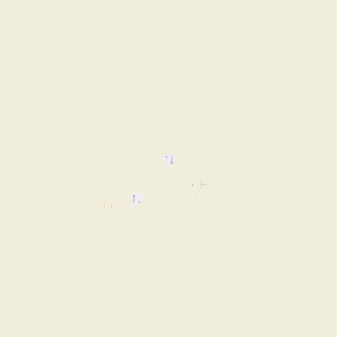 O=C(O)c1c(CN2CCOCC2)c2ccccc2n1Cc1cccc2ccccc12